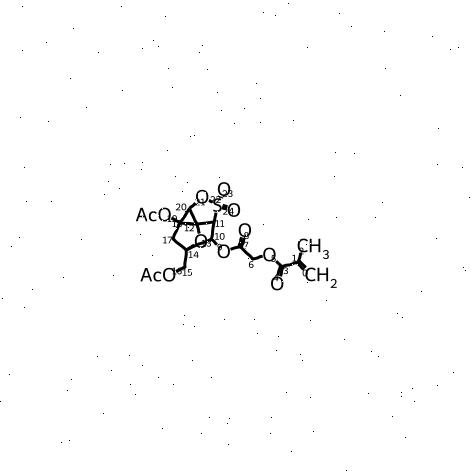 C=C(C)C(=O)OCC(=O)OC1C2C34OC1(COC(C)=O)CC3(OC(C)=O)C4OS2(=O)=O